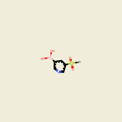 CC(C)S(=O)(=O)c1cncc(B(O)O)c1